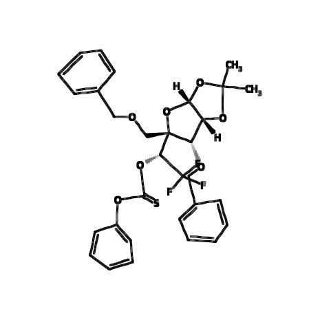 CC1(C)O[C@H]2O[C@@](COCc3ccccc3)([C@@H](OC(=S)Oc3ccccc3)C(F)(F)F)[C@@H](OCc3ccccc3)[C@H]2O1